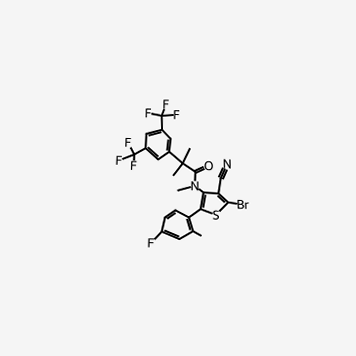 Cc1cc(F)ccc1-c1sc(Br)c(C#N)c1N(C)C(=O)C(C)(C)c1cc(C(F)(F)F)cc(C(F)(F)F)c1